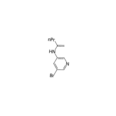 C=C(CCC)Nc1cncc(Br)c1